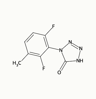 Cc1ccc(F)c(-n2nn[nH]c2=O)c1F